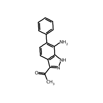 CC(=O)c1n[nH]c2c(N)c(-c3ccccc3)ccc12